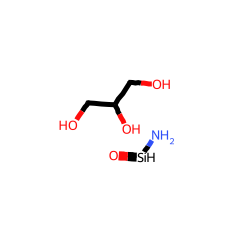 N[SiH]=O.OCC(O)CO